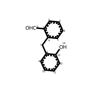 O=Cc1ccccc1Cc1ccccc1O